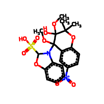 COC1(N2c3ccccc3OC2S(=O)(=O)O)c2cc([N+](=O)[O-])ccc2OC(C)(C)C1(O)OC